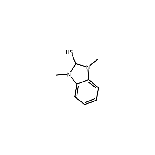 CN1c2ccccc2N(C)C1S